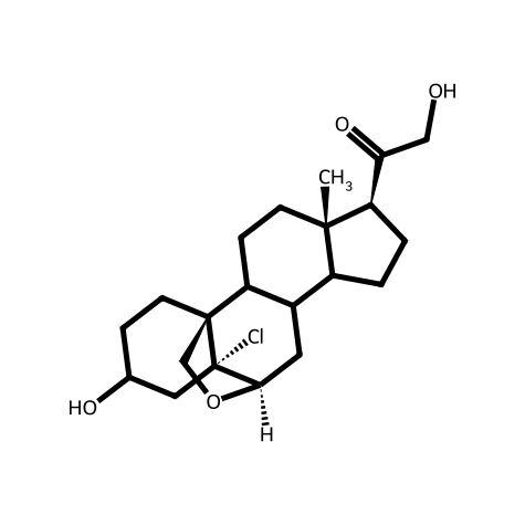 C[C@]12CCC3C(C[C@H]4OC[C@@]35CCC(O)C[C@]45Cl)C1CC[C@@H]2C(=O)CO